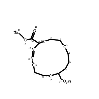 CCOC(=O)C1CCCCCCCC(C(=O)OC(C)(C)C)N=NCCCC1